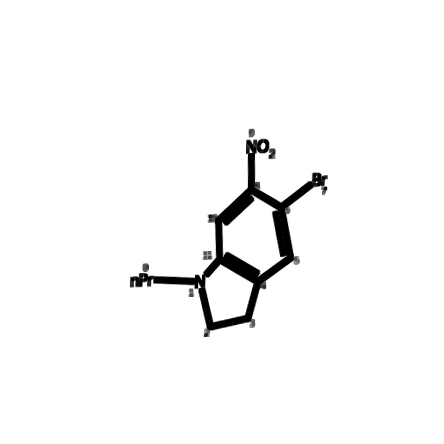 CCCN1CCc2cc(Br)c([N+](=O)[O-])cc21